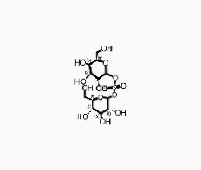 O=S(=O)(OC1O[C@H](CO)[C@@H](O)[C@H](O)[C@H]1O)OC1O[C@H](CO)[C@@H](O)[C@H](O)[C@H]1O